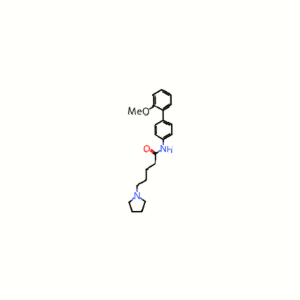 COc1ccccc1-c1ccc(NC(=O)CCCCN2CCCC2)cc1